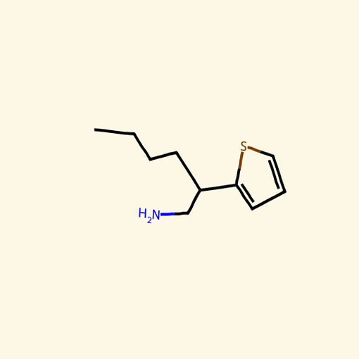 CCCCC(CN)c1cccs1